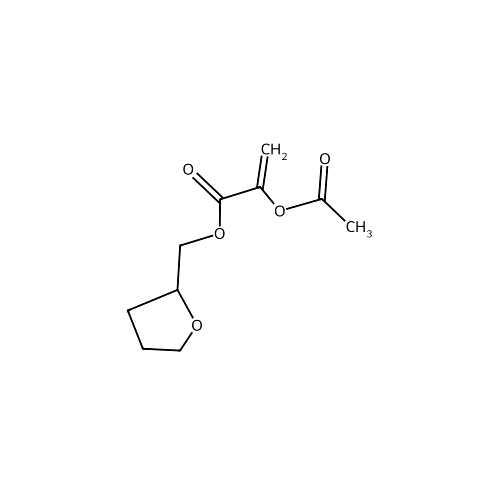 C=C(OC(C)=O)C(=O)OCC1CCCO1